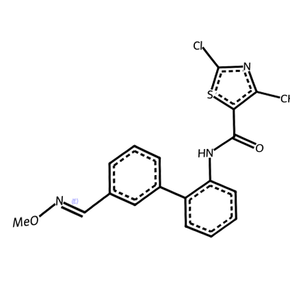 CO/N=C/c1cccc(-c2ccccc2NC(=O)c2sc(Cl)nc2C)c1